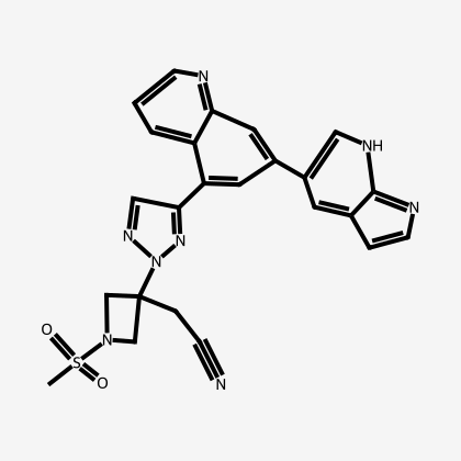 CS(=O)(=O)N1CC(CC#N)(n2ncc(-c3cc(-c4c[nH]c5nccc-5c4)cc4ncccc34)n2)C1